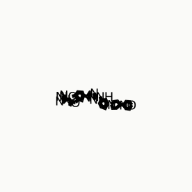 CC(Cn1cnnn1)Oc1cc(-c2cnc(Nc3cccc(N4CCC(N5CCOCC5)CC4)c3)nc2)ccc1C#N